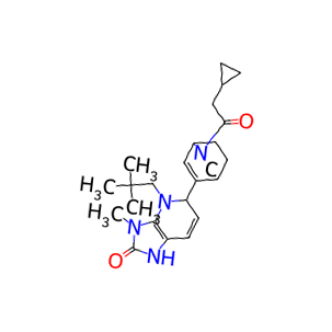 Cn1c2c([nH]c1=O)C=CC(C1=CC3CCC1CN3C(=O)CC1CC1)N2CC(C)(C)C